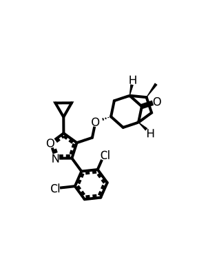 C[C@H]1C[C@@H]2C[C@H](OCc3c(-c4c(Cl)cccc4Cl)noc3C3CC3)C[C@H]1C2=O